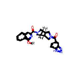 CCOc1nc(C(=O)N2C[C@@H]3[C@H]4CN(C(=O)c5ccc6[nH]nnc6c5)C[C@H]4[C@@H]3C2)cc2ccccc12